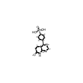 O=c1ccc2c(-c3ccc(P(=O)(O)O)cc3)ncnc2[nH]1